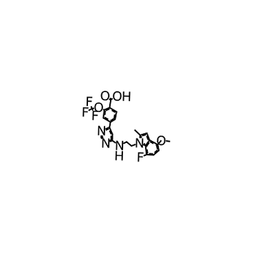 COc1ccc(F)c2c1cc(C)n2CCNc1cc(-c2ccc(C(=O)O)c(OC(F)(F)F)c2)ncn1